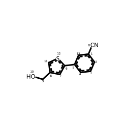 N#Cc1cccc(-c2cc(CO)cs2)c1